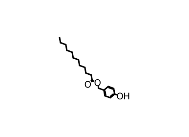 CCCCCCCCCCCC(=O)OCc1ccc(O)cc1